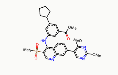 CNS(=O)(=O)c1cnc2cc(-c3cnc(OC)nc3OC)ccc2c1Nc1cc(C(=O)OC)cc(C2CCCC2)c1